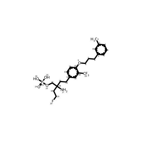 Cc1cccc(CCCOc2ccc(CCC(N)(CCF)COP(=O)(O)O)cc2C(F)(F)F)c1